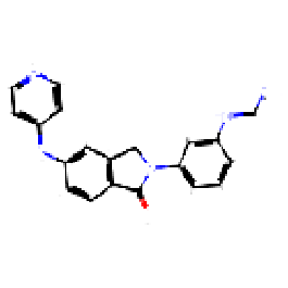 NCNc1cccc(N2Cc3cc(Nc4ccncc4)ccc3C2=O)c1